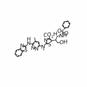 Cc1cc(N(C)c2nc(C(=O)O)c(C(CO)CNS(=O)(=O)c3ccccc3)s2)nnc1Nc1nc2ccccc2s1